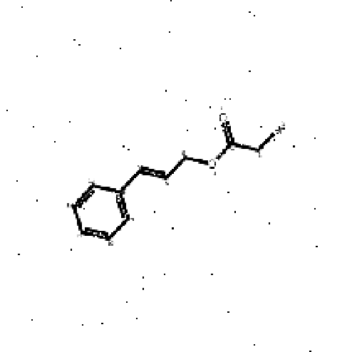 O=C(CBr)OCC=Cc1ccccc1